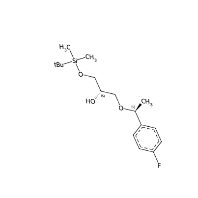 C[C@H](OC[C@H](O)CO[Si](C)(C)C(C)(C)C)c1ccc(F)cc1